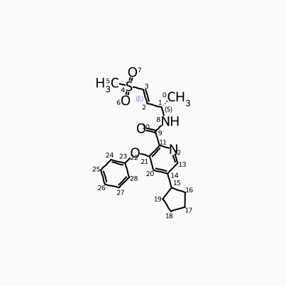 C[C@@H](/C=C/S(C)(=O)=O)NC(=O)c1ncc(C2CCCC2)cc1Oc1ccccc1